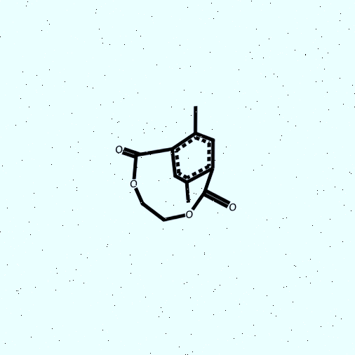 Cc1cc2c(C)cc1C(=O)OCCOC2=O